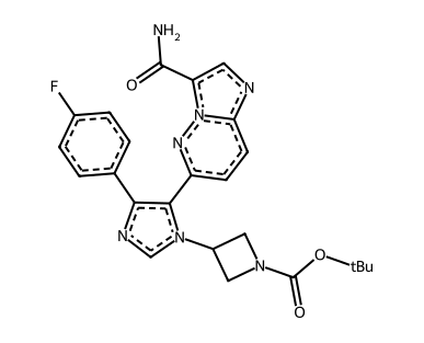 CC(C)(C)OC(=O)N1CC(n2cnc(-c3ccc(F)cc3)c2-c2ccc3ncc(C(N)=O)n3n2)C1